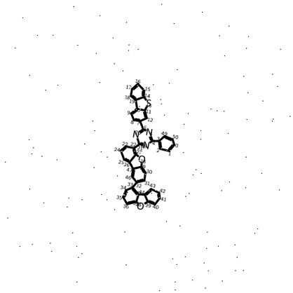 c1ccc(-c2nc(-c3ccc4c(c3)sc3ccccc34)nc(-c3cccc4c3oc3ccc(-c5cccc6oc7ccccc7c56)cc34)n2)cc1